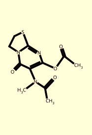 CC(=O)Oc1nc2n(c(=O)c1N(C)C(C)=O)CCS2